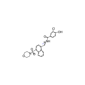 O=C(N/N=C/c1ccc(S(=O)(=O)N2CCOCC2)c2ccccc12)c1ccc(O)c(Cl)c1